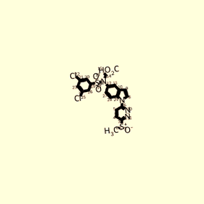 C[S+]([O-])c1ccc(-n2ccc3cc(N(CC(=O)O)S(=O)(=O)C4C=C(Cl)C=C(Cl)C4)ccc32)nn1